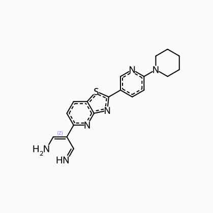 N=C/C(=C\N)c1ccc2sc(-c3ccc(N4CCCCC4)nc3)nc2n1